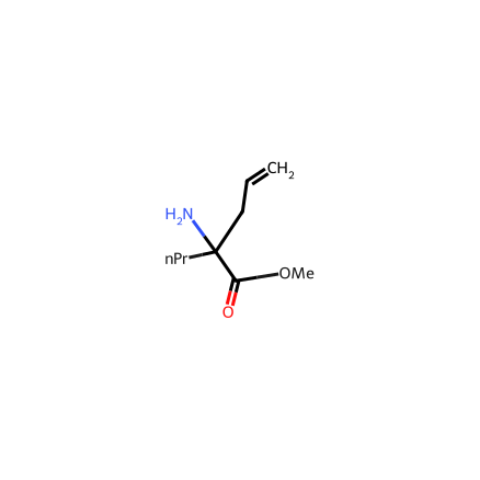 C=CCC(N)(CCC)C(=O)OC